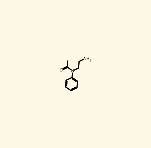 CC(=O)N(CCN)c1ccccc1